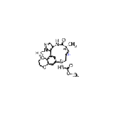 C[C@@H]1/C=C/C[C@H](NC(=O)OC(C)(C)C)c2cc3c(c(c2)-c2c(cnn2C)NC1=O)OCCO3